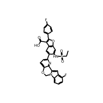 CCS(=O)(=O)Nc1cc2oc(-c3ccc(F)cc3)c(C(=O)O)c2cc1-c1ccc2c(n1)-c1cc3c(F)cccc3n1CO2